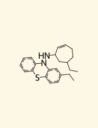 CCc1ccc2c(c1)N(NC1C=CCCC(CC)C1)c1ccccc1S2